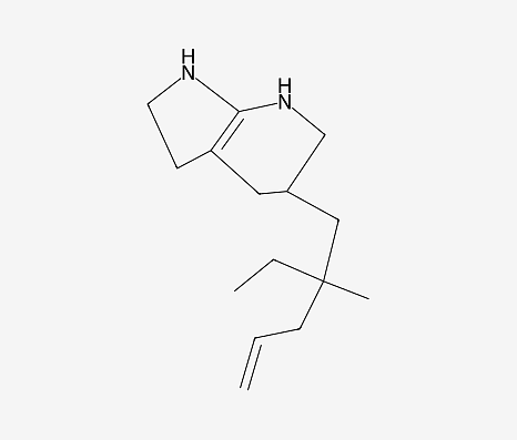 C=CCC(C)(CC)CC1CNC2=C(CCN2)C1